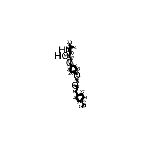 CSc1ccc(CCOCCOc2ccc(OCC(O)CNC(C)C)cc2)cc1